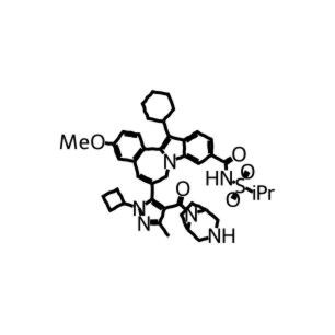 COc1ccc2c(c1)C=C(c1c(C(=O)N3C4CCC3CNC4)c(C)nn1C1CCC1)Cn1c-2c(C2CCCCC2)c2ccc(C(=O)NS(=O)(=O)C(C)C)cc21